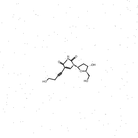 O=c1[nH]c(=O)n([C@H]2C[C@H](O)[C@@H](CO)O2)cc1C#CCCO